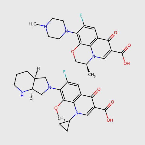 COc1c(N2C[C@@H]3CCCN[C@@H]3C2)c(F)cc2c(=O)c(C(=O)O)cn(C3CC3)c12.C[C@H]1COc2c(N3CCN(C)CC3)c(F)cc3c(=O)c(C(=O)O)cn1c23